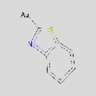 [Au][c]1nc2ccccc2s1